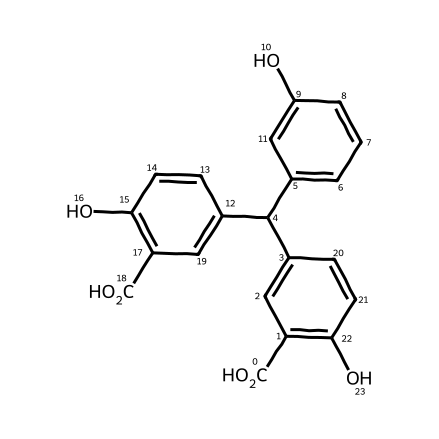 O=C(O)c1cc(C(c2cccc(O)c2)c2ccc(O)c(C(=O)O)c2)ccc1O